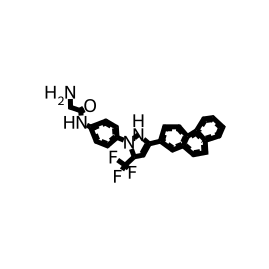 NCC(=O)Nc1ccc(N2NC(c3ccc4c(ccc5ccccc54)c3)=CC2C(F)(F)F)cc1